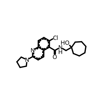 O=C(NCC1(O)CCCCCC1)c1c(Cl)ccc2nc(N3CCCC3)ccc12